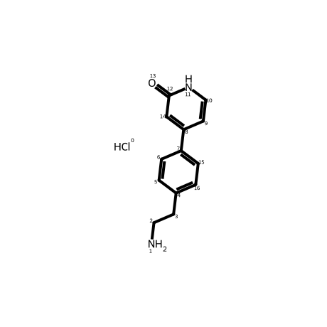 Cl.NCCc1ccc(-c2cc[nH]c(=O)c2)cc1